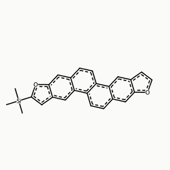 C[Si](C)(C)c1cc2cc3c(ccc4c5cc6ccoc6cc5ccc34)cc2o1